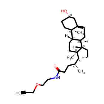 C#CCOCCNC(=O)CC[C@@H](C)[C@H]1CC[C@H]2[C@@H]3CC=C4C[C@@H](O)CC[C@]4(C)[C@H]3CC[C@]12C